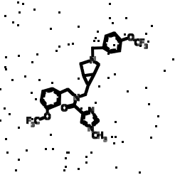 Cn1cnc(C(=O)N(Cc2cccc(OC(F)(F)F)c2)CC2C3CN(Cc4ccc(OC(F)(F)F)cc4)CC32)c1